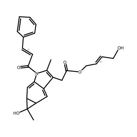 Cc1c(CC(=O)OC/C=C/CO)c2c(n1C(=O)/C=C/c1ccccc1)=CC1C(C=2)C1(C)O